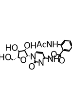 CC(=O)Nc1ccccc1C(=O)ONc1ccn([C@@H]2O[C@H](CO)[C@@H](O)[C@H]2O)c(=O)n1